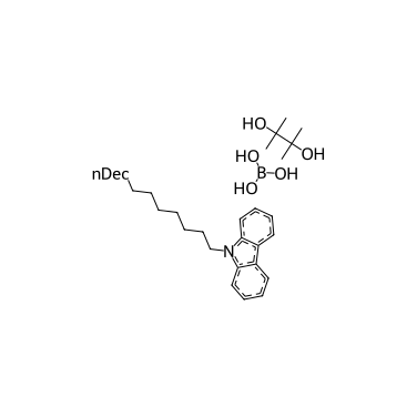 CC(C)(O)C(C)(C)O.CCCCCCCCCCCCCCCCCn1c2ccccc2c2ccccc21.OB(O)O